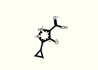 O=C(O)c1[nH]nc(C2CC2)c1Cl